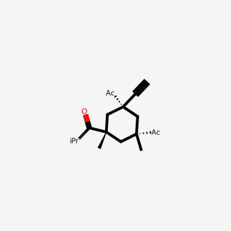 C#C[C@@]1(C(C)=O)C[C@](C)(C(C)=O)C[C@](C)(C(=O)C(C)C)C1